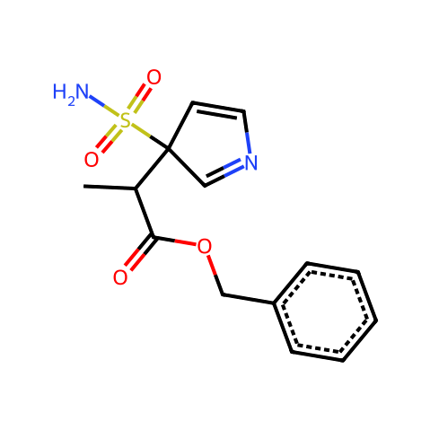 CC(C(=O)OCc1ccccc1)C1(S(N)(=O)=O)C=CN=C1